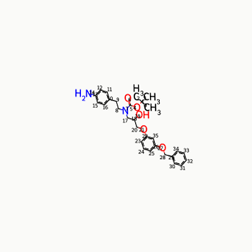 CC(C)(C)OC(=O)N(CCc1ccc(N)cc1)C[C@H](O)COc1cccc(OCc2ccccc2)c1